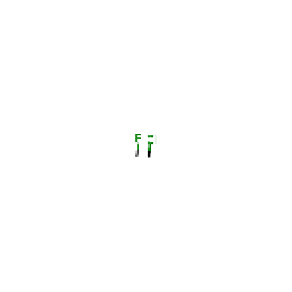 CCl.CF